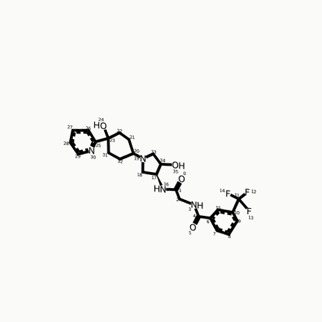 O=C(CNC(=O)c1cccc(C(F)(F)F)c1)N[C@H]1CN(C2CCC(O)(c3ccccn3)CC2)CC1O